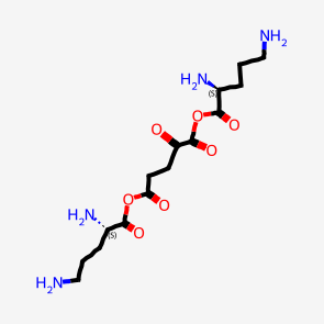 NCCC[C@H](N)C(=O)OC(=O)CCC(=O)C(=O)OC(=O)[C@@H](N)CCCN